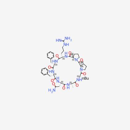 CCCC[C@@H]1NC(=O)[C@H](C)NC(=O)[C@H](CC(N)=O)NC(=O)[C@H](Cc2ccccc2)NC(=O)[C@H](Cc2ccccc2)NC(=O)[C@H](CCCNC(=N)N)NC(=O)[C@@H]2CCCN2C(=O)[C@H]2CCCN2C1=O